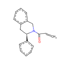 C=CC(=O)N1Cc2ccccc2C[C@@H]1c1ccccc1